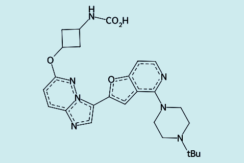 CC(C)(C)N1CCN(c2nccc3oc(-c4cnc5ccc(OC6CC(NC(=O)O)C6)nn45)cc23)CC1